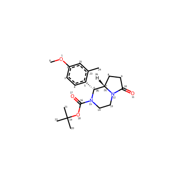 COc1ccc([C@@H]2[C@@H]3CCC(=O)N3CCN2C(=O)OC(C)(C)C)c(C)c1